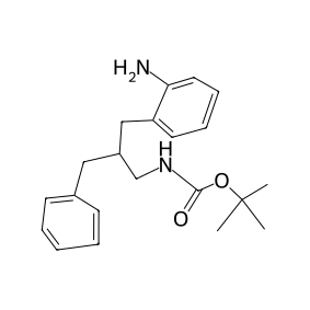 CC(C)(C)OC(=O)NCC(Cc1ccccc1)Cc1ccccc1N